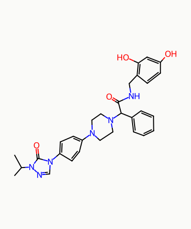 CC(C)n1ncn(-c2ccc(N3CCN(C(C(=O)NCc4ccc(O)cc4O)c4ccccc4)CC3)cc2)c1=O